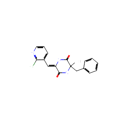 CC1(Cc2ccccc2)NC(=O)C(=Cc2cccnc2Cl)NC1=O